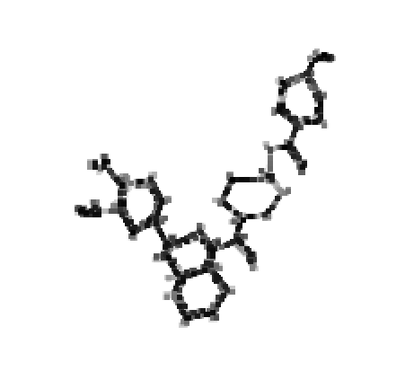 COc1ccc(C(=O)CN2CCN(C(=O)c3cc(-c4ccc(C)c(OC)c4)nc4ccccc34)CC2)cc1